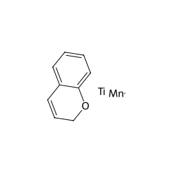 C1=Cc2ccccc2OC1.[Mn].[Ti]